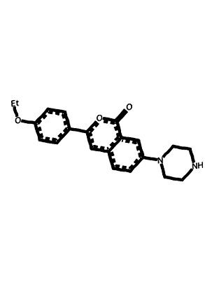 CCOc1ccc(-c2cc3ccc(N4CCNCC4)cc3c(=O)o2)cc1